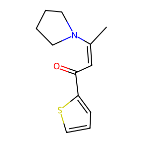 C/C(=C/C(=O)c1cccs1)N1CCCC1